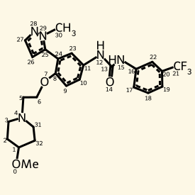 COC1CCN(CCOc2ccc(NC(=O)Nc3cccc(C(F)(F)F)c3)cc2-c2ccnn2C)CC1